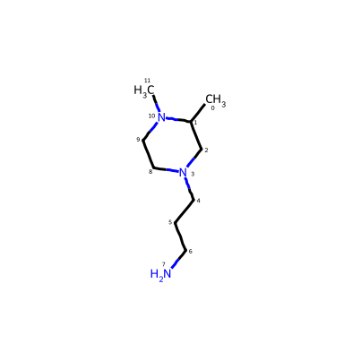 CC1CN(CCCN)CCN1C